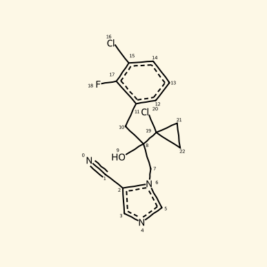 N#Cc1cncn1CC(O)(Cc1cccc(Cl)c1F)C1(Cl)CC1